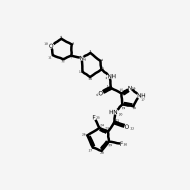 O=C(NC1CCN(C2CCOCC2)CC1)c1n[nH]cc1NC(=O)c1c(F)cccc1F